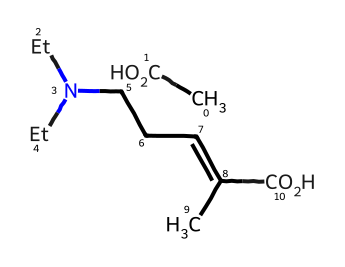 CC(=O)O.CCN(CC)CCC=C(C)C(=O)O